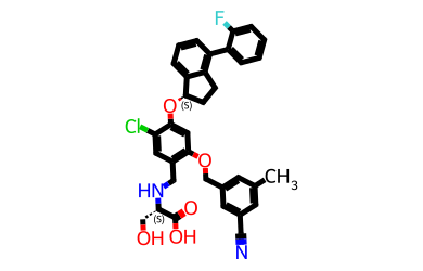 Cc1cc(C#N)cc(COc2cc(O[C@H]3CCc4c(-c5ccccc5F)cccc43)c(Cl)cc2CN[C@@H](CO)C(=O)O)c1